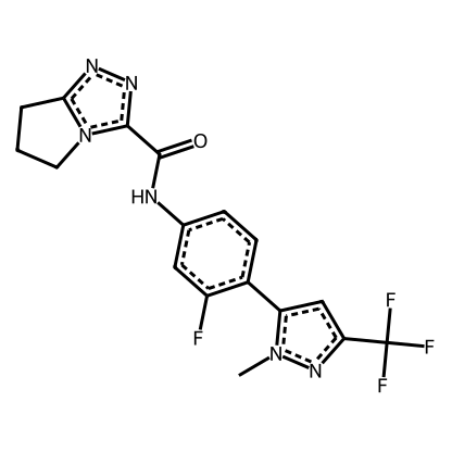 Cn1nc(C(F)(F)F)cc1-c1ccc(NC(=O)c2nnc3n2CCC3)cc1F